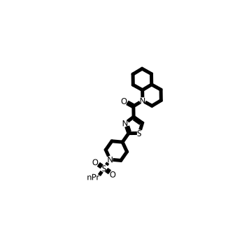 CCCS(=O)(=O)N1CCC(c2nc(C(=O)N3CCCC4CCCCC43)cs2)CC1